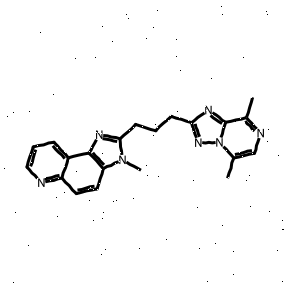 Cc1ncc(C)n2nc(CCCc3nc4c5cccnc5ccc4n3C)nc12